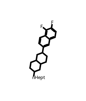 CCCCCCCC1CCC2CC(c3ccc4c(F)c(F)ccc4c3)CCC2C1